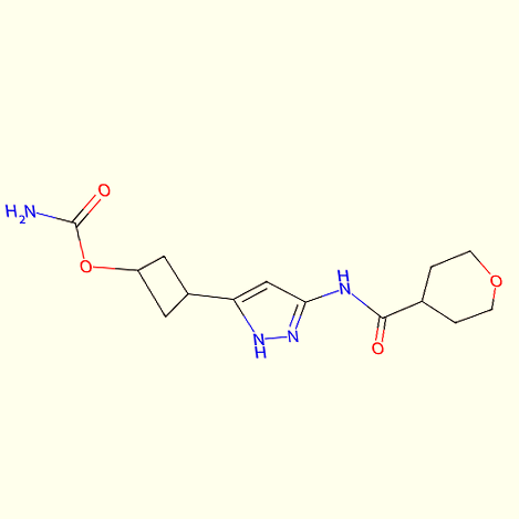 NC(=O)OC1CC(c2cc(NC(=O)C3CCOCC3)n[nH]2)C1